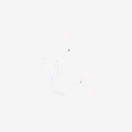 O=C(O)c1ccn2c1C(C(=O)O)C=C2